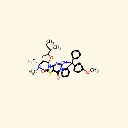 CC[C@H](C)[C@@H]1C[C@@H]([C@@H](C)N(C)C)[C@H](n2c(=O)sc3c(=O)[nH]c(NC(c4ccccc4)(c4ccccc4)c4ccc(OC)cc4)nc32)O1